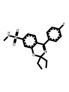 CCC1(CC)N=C(c2ccc(F)cc2)c2ccc(S(=O)(=O)NC)cc2O1